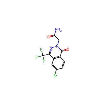 NC(=O)Cn1nc(C(F)(F)F)c2cc(Br)ccc2c1=O